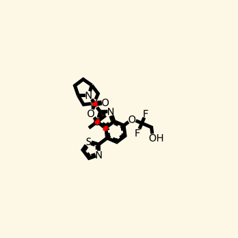 CC(C)(C)OC(=O)N1C2CCC1CN(c1nc3c(OC(F)(F)CO)ccc(-c4nccs4)c3o1)C2